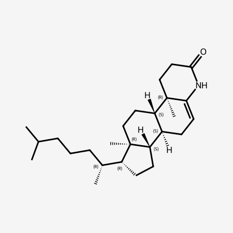 CC(C)CCC[C@@H](C)[C@H]1CC[C@H]2[C@@H]3CC=C4NC(=O)CC[C@]4(C)[C@H]3CC[C@]12C